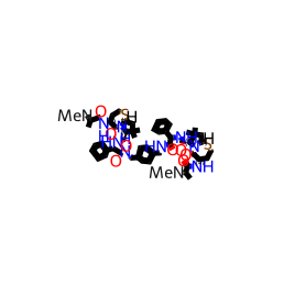 CNC(C)C(=O)N[C@H]1CCS[C@H]2CC(C)(C)[C@@H](C(=O)NC(C(=O)NCc3ccc(CNC(=O)C(NC(=O)[C@H]4N5C(=O)[C@@H](NC(=O)C(C)NC)CCS[C@H]5CC4(C)C)c4ccccc4)cc3)c3ccccc3)N2C1=O